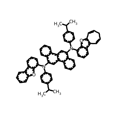 CC(C)c1ccc(N(c2cc3c4ccccc4c(N(c4ccc(C(C)C)cc4)c4cccc5c4oc4ccccc45)cc3c3ccccc23)c2cccc3c4c(oc23)C=CCC=C4)cc1